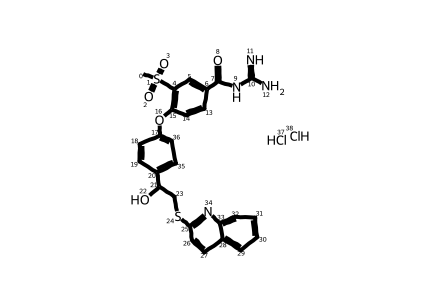 CS(=O)(=O)c1cc(C(=O)NC(=N)N)ccc1Oc1ccc(C(O)CSc2ccc3ccccc3n2)cc1.Cl.Cl